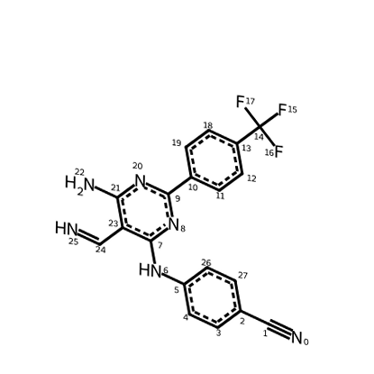 N#Cc1ccc(Nc2nc(-c3ccc(C(F)(F)F)cc3)nc(N)c2C=N)cc1